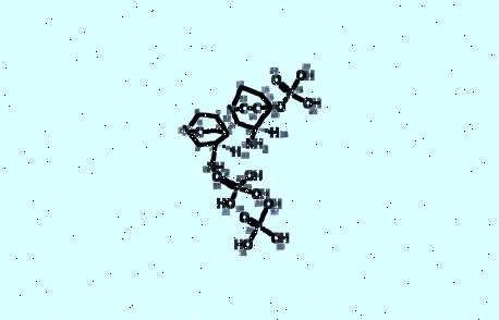 N[C@H]1CN2CCC1CC2.N[C@H]1CN2CCC1CC2.O=P(O)(O)O.O=P(O)(O)O.O=P(O)(O)O